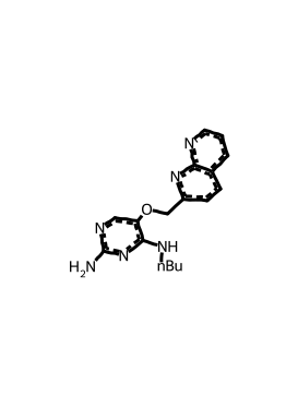 CCCCNc1nc(N)ncc1OCc1ccc2cccnc2n1